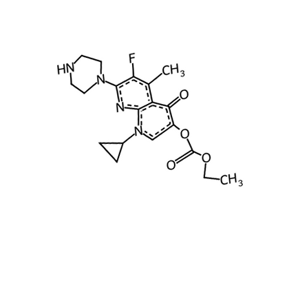 CCOC(=O)Oc1cn(C2CC2)c2nc(N3CCNCC3)c(F)c(C)c2c1=O